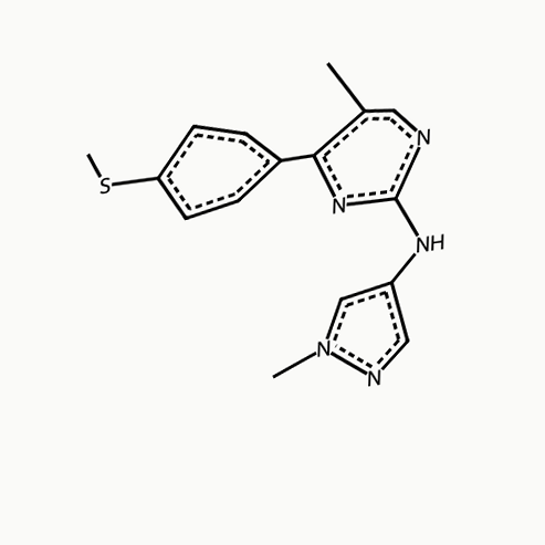 CSc1ccc(-c2nc(Nc3cnn(C)c3)ncc2C)cc1